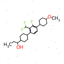 CCC(O)C1CCC(c2ccc(C3CCC(OC)CC3)c(F)c2C(F)F)CC1